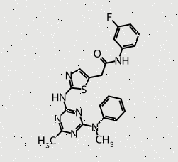 Cc1nc(Nc2ncc(CC(=O)Nc3cccc(F)c3)s2)nc(N(C)c2ccccc2)n1